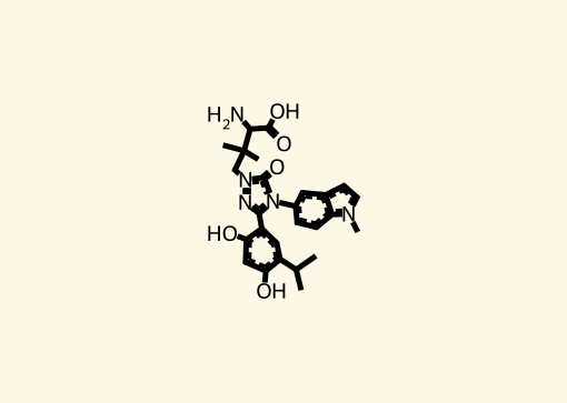 CC(C)c1cc(-c2nn(CC(C)(C)C(N)C(=O)O)c(=O)n2-c2ccc3c(ccn3C)c2)c(O)cc1O